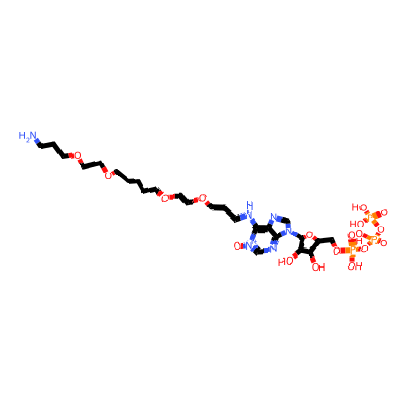 NCCCOCCOCCCCCOCCOCCCNc1c2ncn(C3OC(COP(=O)(O)OP(=O)(O)OP(=O)(O)O)C(O)C3O)c2nc[n+]1[O-]